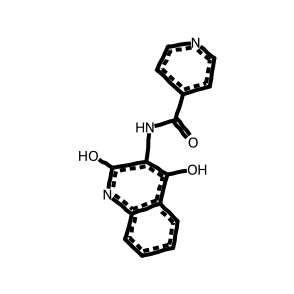 O=C(Nc1c(O)nc2ccccc2c1O)c1ccncc1